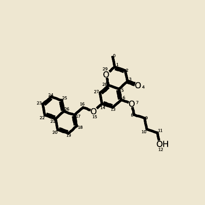 Cc1cc(=O)c2c(OCCCCO)cc(OCc3cccc4ccccc34)cc2o1